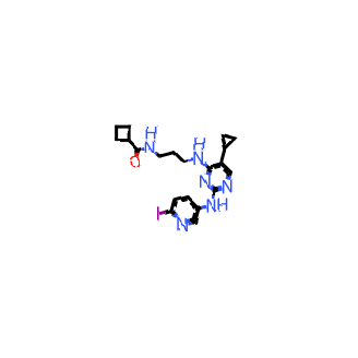 O=C(NCCCNc1nc(Nc2ccc(I)nc2)ncc1C1CC1)C1CCC1